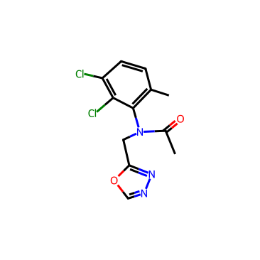 CC(=O)N(Cc1nnco1)c1c(C)ccc(Cl)c1Cl